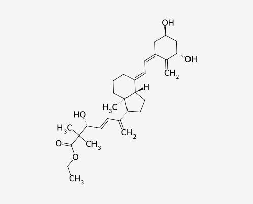 C=C(/C=C/[C@@H](O)C(C)(C)C(=O)OCC)[C@H]1CC[C@H]2/C(=C/C=C3/C[C@@H](O)C[C@H](O)C3=C)CCC[C@]12C